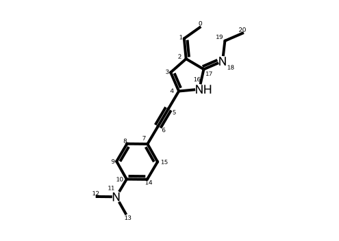 C/C=C1/C=C(C#Cc2ccc(N(C)C)cc2)N/C1=N/CC